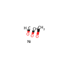 C=O.C=O.C=O.[Ni]